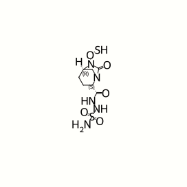 NS(=O)(=O)NNC(=O)[C@@H]1CC[C@@H]2CN1C(=O)N2OS